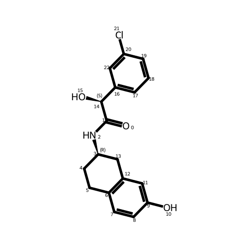 O=C(N[C@@H]1CCc2ccc(O)cc2C1)[C@@H](O)c1cccc(Cl)c1